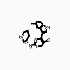 Cc1ccc2[nH]cc(-c3nc(N[C@H]4CCCNC4)ncc3Cl)c2c1